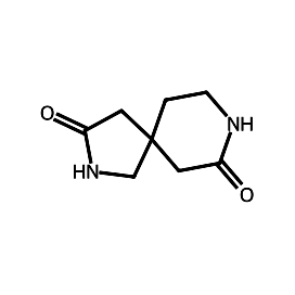 O=C1CC2(CCN1)CNC(=O)C2